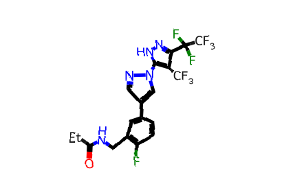 CCC(=O)NCc1cc(-c2cnn(-c3[nH]nc(C(F)(F)C(F)(F)F)c3C(F)(F)F)c2)ccc1F